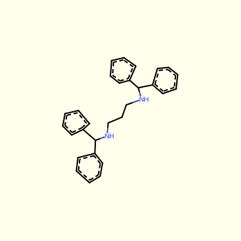 c1ccc(C(NCCCNC(c2ccccc2)c2ccccc2)c2ccccc2)cc1